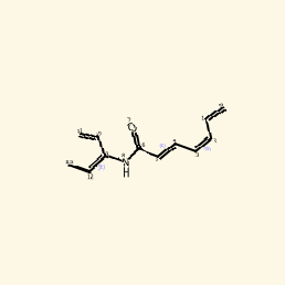 C=C/C=C\C=C\C(=O)N/C(C=C)=C/C